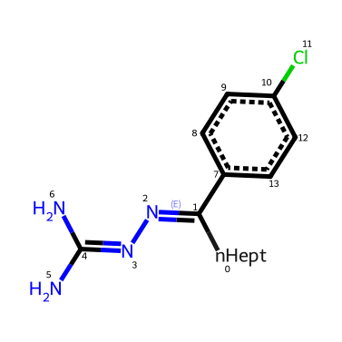 CCCCCCC/C(=N\N=C(N)N)c1ccc(Cl)cc1